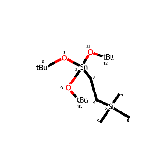 CC(C)(C)[O][Sn]([CH2]C[Si](C)(C)C)([O]C(C)(C)C)[O]C(C)(C)C